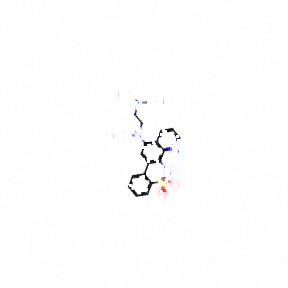 CN(C)CCN(C)c1cc2c(c3ncccc13)NS(=O)(=O)c1ccccc1-2